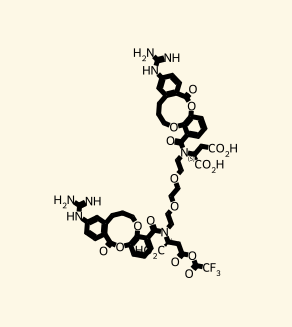 N=C(N)Nc1ccc2c(c1)CCCOc1c(cccc1C(=O)N(CCOCCOCCN(C(=O)c1cccc3c1OCCCc1cc(NC(=N)N)ccc1C(=O)O3)[C@@H](CC(=O)OC(=O)C(F)(F)F)C(=O)O)[C@@H](CC(=O)O)C(=O)O)OC2=O